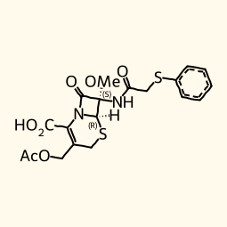 CO[C@@]1(NC(=O)CSc2ccccc2)C(=O)N2C(C(=O)O)=C(COC(C)=O)CS[C@@H]21